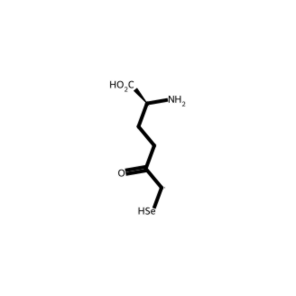 N[C@@H](CCC(=O)[CH][SeH])C(=O)O